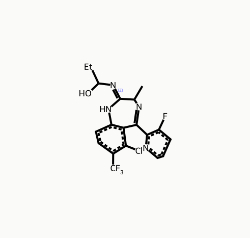 CCC(O)/N=C1\Nc2ccc(C(F)(F)F)c(Cl)c2C(c2ncccc2F)=NC1C